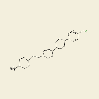 CCCC1CCC(CCC2CCC(C3CCC(c4ccc(CF)cc4)CC3)CC2)CC1